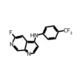 Fc1cc2c(Nc3ccc(C(F)(F)F)cc3)ccnc2cn1